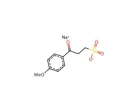 COc1ccc(C(=O)CCS(=O)(=O)[O-])cc1.[Na+]